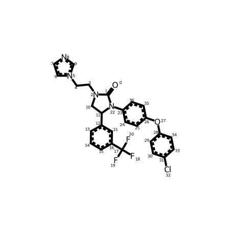 O=C1N(CCn2ccnc2)CC(c2cccc(C(F)(F)F)c2)N1c1ccc(Oc2ccc(Cl)cc2)cc1